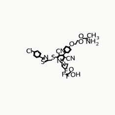 C[C@H](N)C(=O)OCCOc1ccc(-c2c(C#N)c(SCc3csc(-c4ccc(Cl)cc4)n3)nc(N3CCCC3)c2C#N)cc1.O=C(O)C(F)(F)F